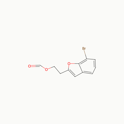 O=COCCc1cc2cccc(Br)c2o1